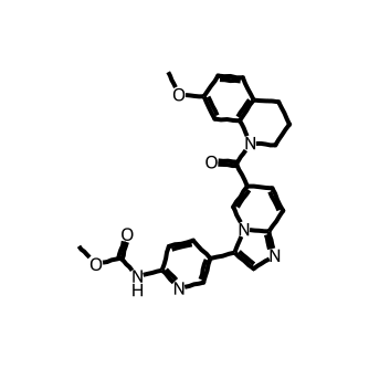 COC(=O)Nc1ccc(-c2cnc3ccc(C(=O)N4CCCc5ccc(OC)cc54)cn23)cn1